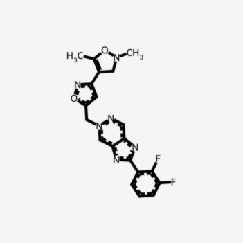 CC1=C(c2cc(Cn3cc4nc(-c5cccc(F)c5F)nc-4cn3)on2)CN(C)O1